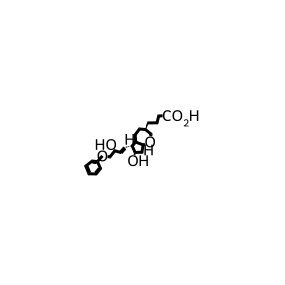 O=C(O)CCC[C@@H]1CC[C@@H]2[C@@H](C=C[C@@H](O)COc3ccccc3)[C@H](O)C[C@@H]2OC1